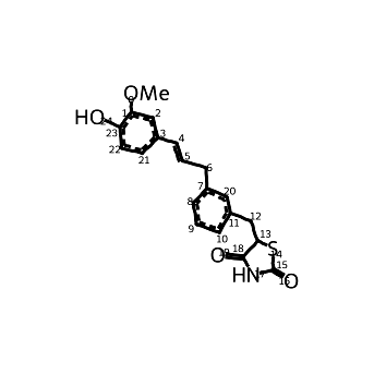 COc1cc(C=CCc2cccc(CC3SC(=O)NC3=O)c2)ccc1O